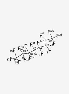 F/C(=C(/F)C(F)(F)C(F)(F)C(F)(F)C(F)(F)C(F)(F)F)C(F)(F)F